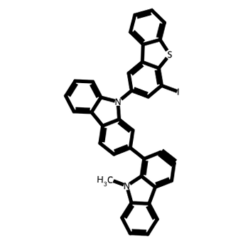 Cn1c2ccccc2c2cc#cc(-c3ccc4c5ccccc5n(-c5cc(I)c6sc7ccccc7c6c5)c4c3)c21